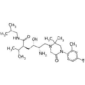 Cc1cc(F)ccc1N1CC(C)(C)N(C[C@H](N)[C@@H](O)C[C@H](C(=O)NCC(C)C)C(C)C)CC1=O